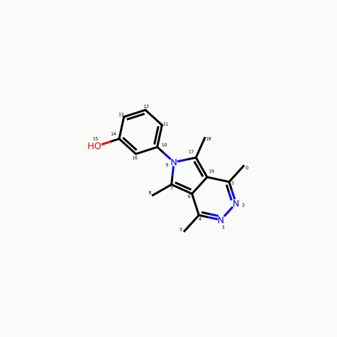 Cc1nnc(C)c2c(C)n(-c3cccc(O)c3)c(C)c12